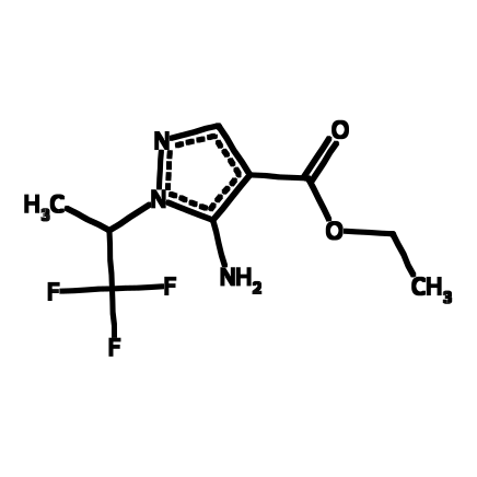 CCOC(=O)c1cnn(C(C)C(F)(F)F)c1N